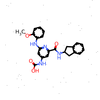 COc1ccccc1Nc1cc(NC(=O)O)cc(C(=O)NC2Cc3ccccc3C2)n1